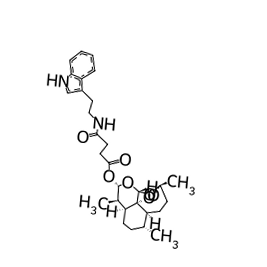 C[C@H]1[C@H](OC(=O)CCC(=O)NCCc2c[nH]c3ccccc23)O[C@@H]2O[C@@]3(C)CC[C@H]4[C@H](C)CC[C@@H]1[C@@]24OO3